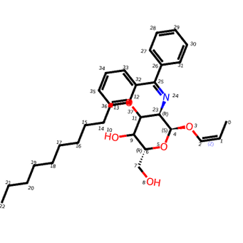 C/C=C\O[C@H]1O[C@H](CO)C(O)C(OCCCCCCCCCC)[C@H]1N=C(c1ccccc1)c1ccccc1